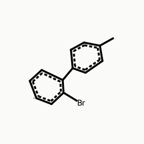 Cc1ccc(-c2cc[c]cc2Br)cc1